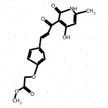 COC(=O)COc1ccc(/C=C/C(=O)c2c(O)cc(C)[nH]c2=O)cc1